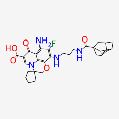 Nc1c(F)c(NCCCNC(=O)C23CC=C4C(CC4C2)C3)c2c3c1c(=O)c(C(=O)O)cn3C1(CCCC1)CO2